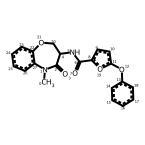 CN1C(=O)C(NC(=O)c2ccc(Oc3ccccc3)o2)COc2ccccc21